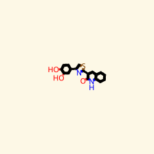 O=c1[nH]c2ccccc2cc1-c1nc(-c2ccc(O)c(O)c2)cs1